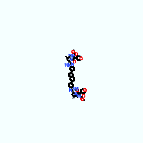 COC(=O)N[C@H](C(=O)N1[C@H](C)[C@H](C)C[C@H]1c1nc2ccc(-c3ccc4cc(-c5ccc6nc([C@@H]7C[C@@H](C)[C@@H](C)N7C(=O)[C@@H](NC(=O)OC)C7CCOCC7)[nH]c6c5)ccc4c3)cc2[nH]1)C1CCOCC1